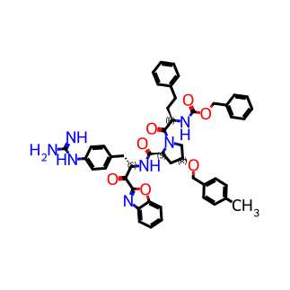 Cc1ccc(CO[C@@H]2C[C@@H](C(=O)N[C@@H](Cc3ccc(NC(=N)N)cc3)C(=O)c3nc4ccccc4o3)N(C(=O)[C@@H](CCc3ccccc3)NC(=O)OCc3ccccc3)C2)cc1